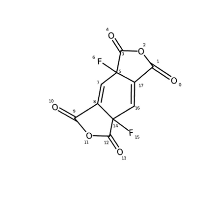 O=C1OC(=O)C2(F)C=C3C(=O)OC(=O)C3(F)C=C12